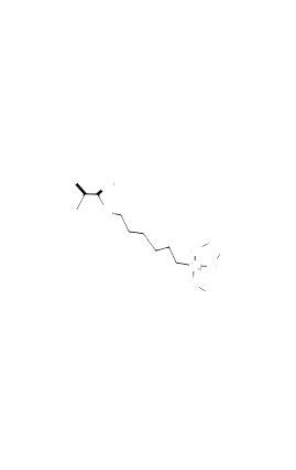 C=C(C)C(=O)OCCCCCC[Si](OC)(OC)OC